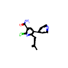 CC(C)Cc1nc(Cl)c(C(N)=O)cc1-c1ccncc1